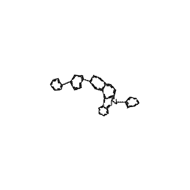 c1ccc(-c2ccc(-c3ccc4ccc5c(c4c3)c3ccccc3n5-c3ccccc3)cc2)cc1